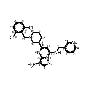 Bc1cnn2c(NCc3cccnc3)cc(C3CCCN(Cc4c(Cl)cccc4Cl)C3)nc12